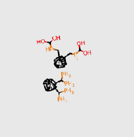 OC(O)PC[C]12[CH]3[CH]4[CH]5[C]1(CPC(O)O)[Fe]43521678[CH]2[CH]1[CH]6[CH]7[CH]28.PC(P)[C]12[CH]3[CH]4[CH]5[C]1(C(P)P)[Fe]43521678[CH]2[CH]1[CH]6[CH]7[CH]28